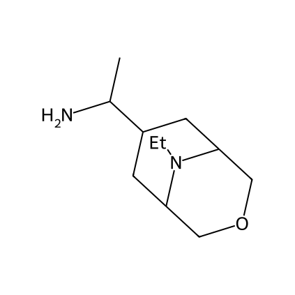 CCN1C2COCC1CC(C(C)N)C2